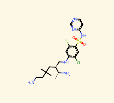 C[C@@H](N)[C@H](CNc1cc(F)c(S(=O)(=O)Nc2ccncn2)cc1Cl)CC(C)(C)CCN